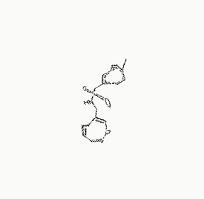 Cc1ccc(S(=O)(=O)NC2=CON=CC=C2)cc1